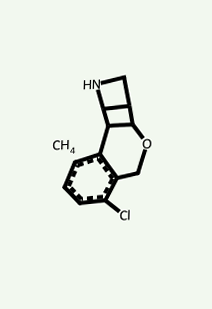 C.Clc1cccc2c1COC1C3CNC3C21